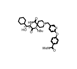 CCCCN1C(=O)[C@@H]([C@H](O)C2CCCCC2)NC(=O)C12CCN(Cc1ccc(Oc3ccc(C(=O)NC)cc3)nc1)CC2